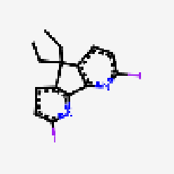 CCC1(CC)c2ccc(I)nc2-c2nc(I)ccc21